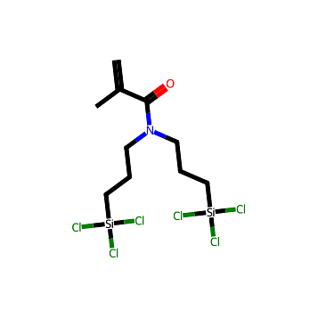 C=C(C)C(=O)N(CCC[Si](Cl)(Cl)Cl)CCC[Si](Cl)(Cl)Cl